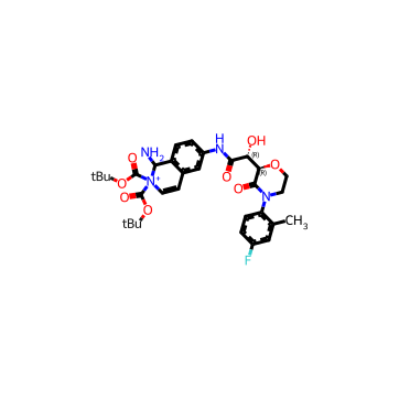 Cc1cc(F)ccc1N1CCO[C@H]([C@@H](O)C(=O)Nc2ccc3c(c2)C=C[N+](C(=O)OC(C)(C)C)(C(=O)OC(C)(C)C)C3N)C1=O